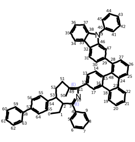 CCC1/C(c2ccccc2)=N\C(c2ccc3c(c2)c2ccccc2c2cccc(-c4ccc5c6ccccc6n(-c6ccccc6)c5c4)c23)=C(/C)CCC1c1ccc(-c2ccccc2)cc1